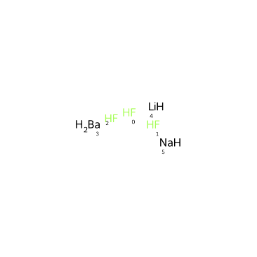 F.F.F.[BaH2].[LiH].[NaH]